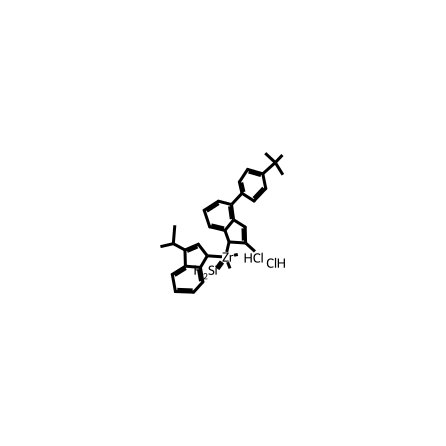 CC1=Cc2c(-c3ccc(C(C)(C)C)cc3)cccc2[CH]1[Zr]([CH3])([CH3])(=[SiH2])[CH]1C=C(C(C)C)c2ccccc21.Cl.Cl